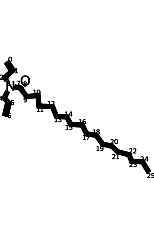 C=CCN(CC=C)C(=O)CCCCCCCCCCCCCCCCC